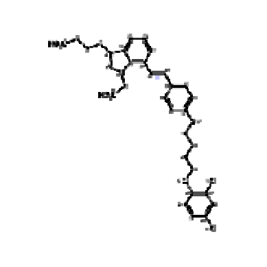 O=C(O)CCCc1cn(CC(=O)O)c2c(/C=C/c3ccc(OCCCCOc4ccc(Cl)cc4Cl)cc3)cccc12